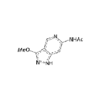 COc1n[nH]c2cc(NC(C)=O)ncc12